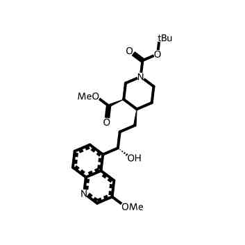 COC(=O)[C@H]1CN(C(=O)OC(C)(C)C)CC[C@H]1CC[C@H](O)c1cccc2ncc(OC)cc12